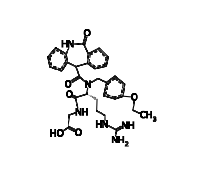 CCOc1ccc(CN(C(=O)C2c3ccccc3NC(=O)c3ccccc32)[C@H](CCCNC(=N)N)C(=O)NCC(=O)O)cc1